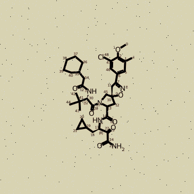 COc1c(C)cc(C2=NO[C@]3(C2)CC(C(=O)N[C@H](CC2CC2)C(=O)C(N)=O)N(C(=O)[C@@H](NC(=O)CC2CCCCC2)C(C)(C)C)C3)cc1Cl